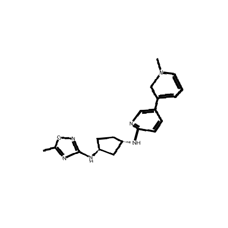 Cc1nc(N[C@H]2CC[C@H](Nc3ccc(C4=CC=CN(C)C4)cn3)C2)no1